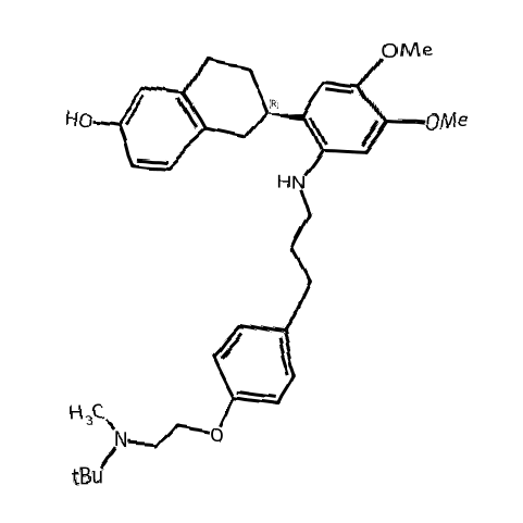 COc1cc(NCCCc2ccc(OCCN(C)C(C)(C)C)cc2)c([C@@H]2CCc3cc(O)ccc3C2)cc1OC